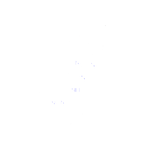 COc1ccc(Nc2nccc(Nc3cc(C)nn3-c3ccccc3)n2)cc1OC